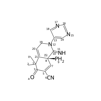 CC1(C)C(=O)C(C#N)=C[C@@]2(P)C(=N)N(c3cncnc3)CC=C12